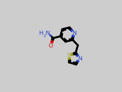 NC(=O)c1ccnc(Cc2nccs2)c1